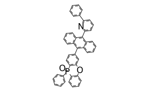 O=P1(c2ccccc2)c2ccccc2Oc2cc(-c3c4ccccc4c(-c4cccc(-c5ccccc5)n4)c4ccccc34)ccc21